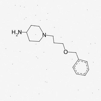 NC1CCN(CCCOCc2ccccc2)CC1